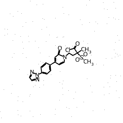 CC(CCn1ccc(-c2ccc(-n3nccn3)cc2)cc1=O)(C(=O)Cl)S(C)(=O)=O